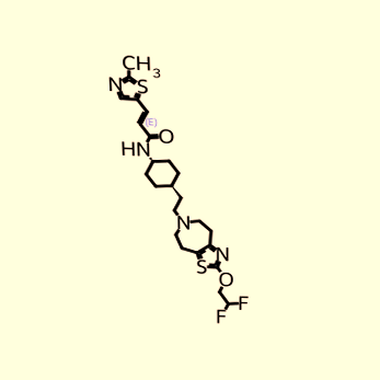 Cc1ncc(/C=C/C(=O)N[C@H]2CC[C@H](CCN3CCc4nc(OCC(F)F)sc4CC3)CC2)s1